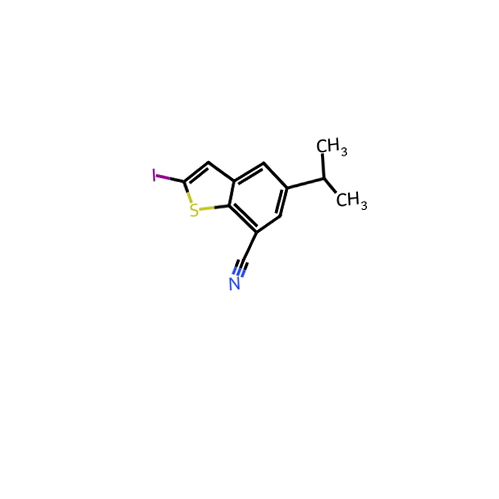 CC(C)c1cc(C#N)c2sc(I)cc2c1